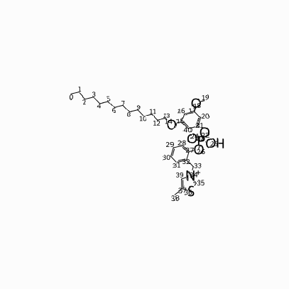 CCCCCCCCCCCCCCOc1cc(OC)cc(OP(=O)(O)Oc2ccccc2C[n+]2csc(C)c2)c1